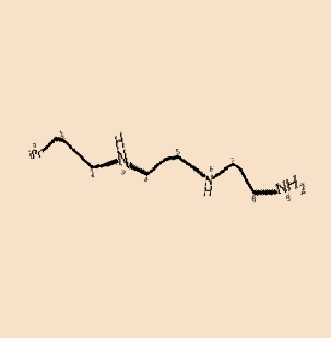 CC(C)CCNCCNCCN